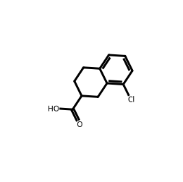 O=C(O)C1CCc2cccc(Cl)c2C1